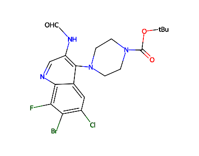 CC(C)(C)OC(=O)N1CCN(c2c(NC=O)cnc3c(F)c(Br)c(Cl)cc23)CC1